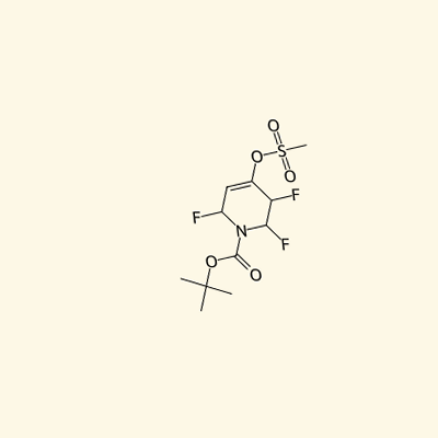 CC(C)(C)OC(=O)N1C(F)C=C(OS(C)(=O)=O)C(F)C1F